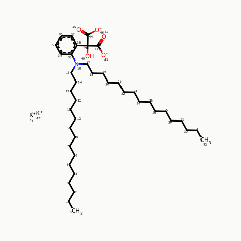 CCCCCCCCCCCCCCCCN(CCCCCCCCCCCCCCCC)c1ccccc1C(O)(C(=O)[O-])C(=O)[O-].[K+].[K+]